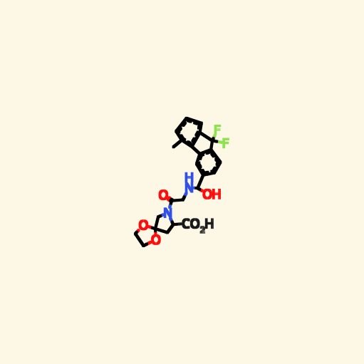 Cc1cccc2c1-c1cc(C(O)NCC(=O)N3CC4(CC3C(=O)O)OCCO4)ccc1C2(F)F